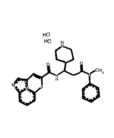 CN(C(=O)CC(NC(=O)C1=Cc2cnc3cccc(n23)S1)C1CCNCC1)c1ccccc1.Cl.Cl